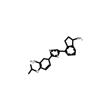 CC(C)OC1=C(N)CC(c2ncc(-c3cccc4c3CCC4N)s2)C=C1